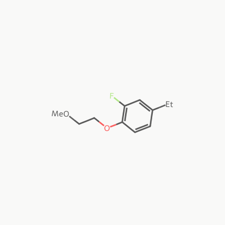 CCc1ccc(OCCOC)c(F)c1